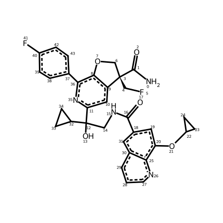 NC(=O)[C@@]1(CF)COc2c1cc(C(O)(CNC(=O)c1cc(OC3CC3)c3ncccc3c1)C1CC1)nc2-c1ccc(F)cc1